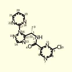 C[C@H](NC(=O)c1cncc(Cl)n1)c1ncnn1-c1ncccn1